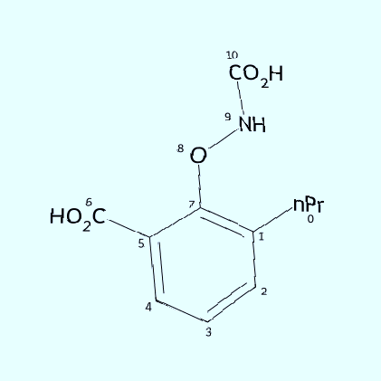 CCCc1cccc(C(=O)O)c1ONC(=O)O